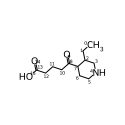 CCC1CNCCC1C(=O)CCCC(=O)O